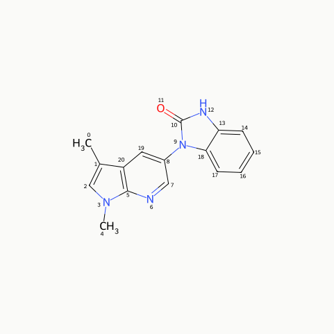 Cc1cn(C)c2ncc(-n3c(=O)[nH]c4ccccc43)cc12